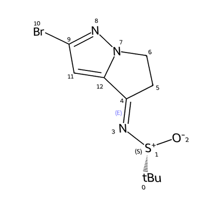 CC(C)(C)[S@@+]([O-])/N=C1\CCn2nc(Br)cc21